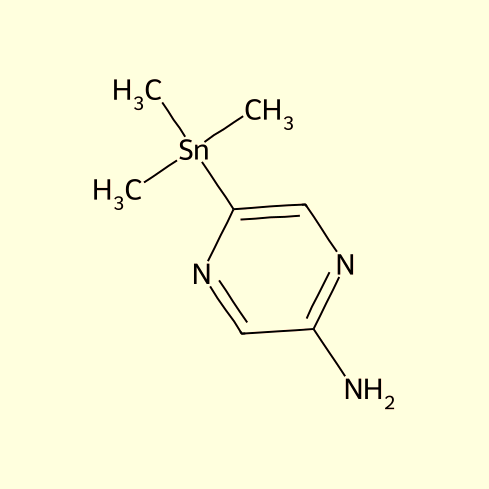 [CH3][Sn]([CH3])([CH3])[c]1cnc(N)cn1